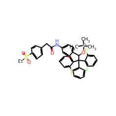 CCS(=O)(=O)c1ccc(CC(=O)Nc2ccc(C(O[Si](C)(C)C)C(c3ccccc3F)(c3ccccc3F)c3ccccc3F)cc2)cc1